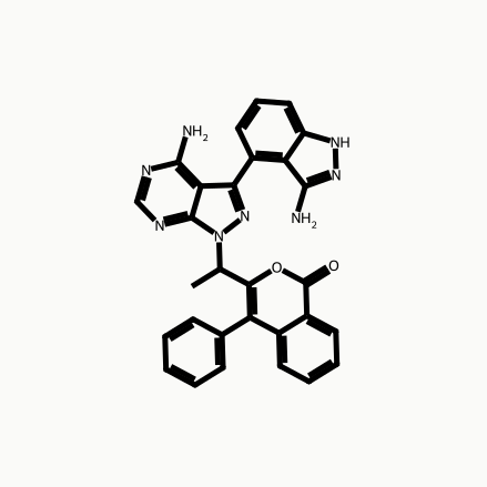 CC(c1oc(=O)c2ccccc2c1-c1ccccc1)n1nc(-c2cccc3[nH]nc(N)c23)c2c(N)ncnc21